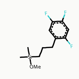 CO[Si](C)(C)CCCc1cc(F)c(F)cc1F